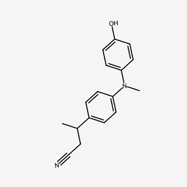 CC(CC#N)c1ccc(N(C)c2ccc(O)cc2)cc1